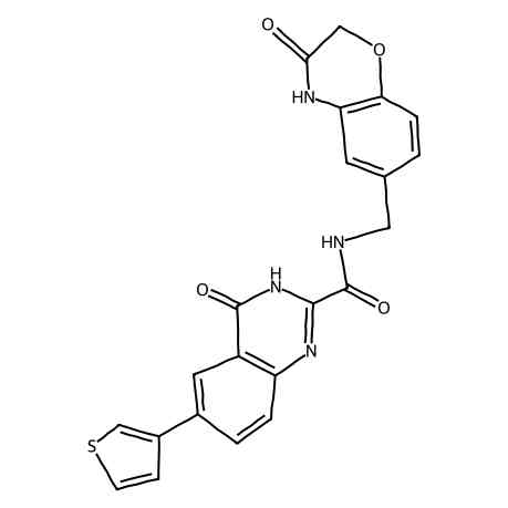 O=C1COc2ccc(CNC(=O)c3nc4ccc(-c5ccsc5)cc4c(=O)[nH]3)cc2N1